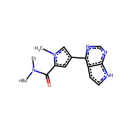 CCCCN(CC)C(=O)c1cc(-c2ncnc3[nH]ccc23)cn1C